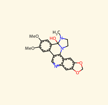 COc1cc2c(cc1OC)C1(O)N(C)CCN1c1c-2cnc2cc3c(cc12)OCO3